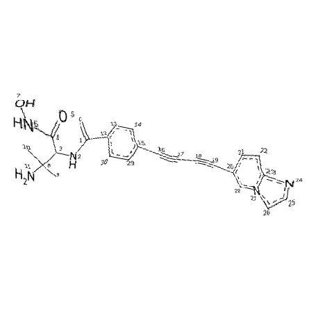 C=C(NC(C(=O)NO)C(C)(C)N)c1ccc(C#CC#Cc2ccc3nccn3c2)cc1